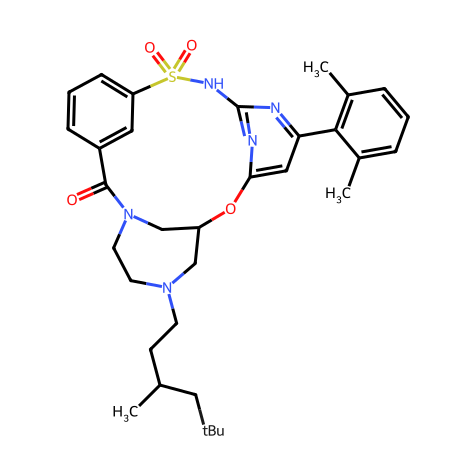 Cc1cccc(C)c1-c1cc2nc(n1)NS(=O)(=O)c1cccc(c1)C(=O)N1CCN(CCC(C)CC(C)(C)C)CC(C1)O2